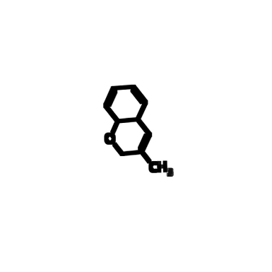 CC1=CC2C=CC=CC2OC1